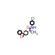 CC(C(=O)Nc1ccc(Cl)cc1)[C@H]1CC[C@@]2(CC1)COc1ccccc12